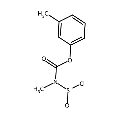 Cc1cccc(OC(=O)N(C)[S+]([O-])Cl)c1